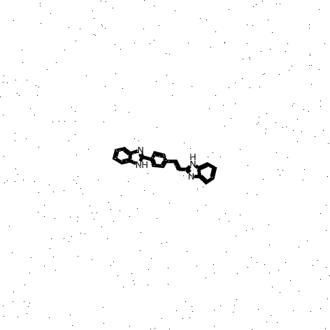 C(=Cc1nc2ccccc2[nH]1)c1ccc(-c2nc3ccccc3[nH]2)cc1